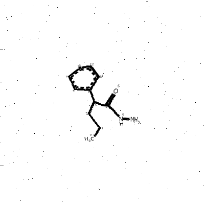 CCCC(C(=O)NN)c1ccccc1